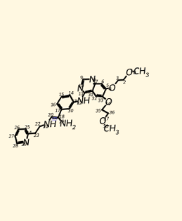 COCCOc1cc2ncnc(Nc3cccc(/C(N)=C/NCCc4ccccn4)c3)c2cc1OCCOC